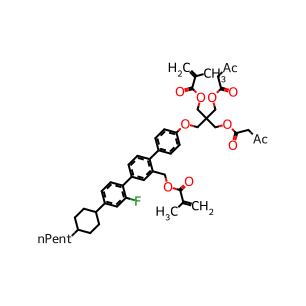 C=C(C)C(=O)OCc1cc(-c2ccc(C3CCC(CCCCC)CC3)cc2F)ccc1-c1ccc(OCC(COC(=O)CC(C)=O)(COC(=O)CC(C)=O)COC(=O)C(=C)C)cc1